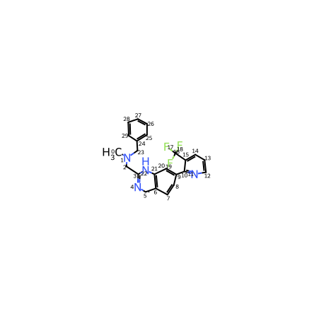 CN(CC1=N[CH]c2ccc(-c3ncccc3C(F)(F)F)cc2N1)Cc1ccccc1